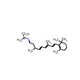 CC1=C(/C=C/C(C)=C/C=C/C(C)CC=N[C@@H](C)C(=O)O)C(C)(C)CCC1